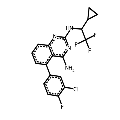 Nc1nc(NC(C2CC2)C(F)(F)F)nc2cccc(-c3ccc(F)c(Cl)c3)c12